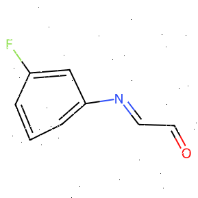 O=CC=Nc1cccc(F)c1